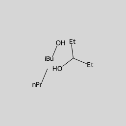 CCC(C)O.CCC(O)CC.CCCC